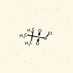 CC[N]S(=O)(=O)C(C)(C)C